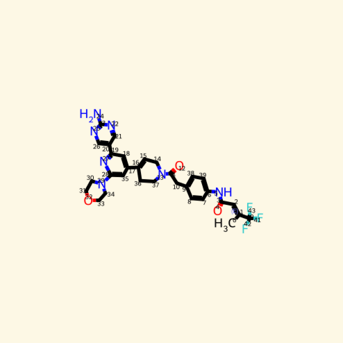 C/C(=C\C(=O)Nc1ccc(CC(=O)N2CC=C(c3cc(-c4cnc(N)nc4)nc(N4CCOCC4)c3)CC2)cc1)C(F)(F)F